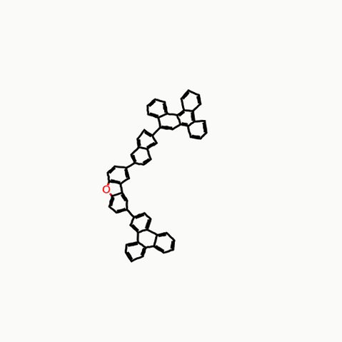 c1ccc2c(c1)c(-c1ccc3cc(-c4ccc5oc6ccc(-c7ccc8c9ccccc9c9ccccc9c8c7)cc6c5c4)ccc3c1)cc1c3ccccc3c3ccccc3c21